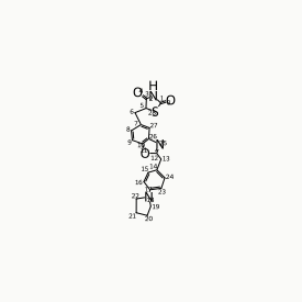 O=C1NC(=O)C(Cc2ccc3oc(Cc4ccc(N5CCCC5)cc4)nc3c2)S1